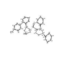 O=C([C@@H]1CNC[C@H]1c1ccccc1-c1ccc(Cl)nc1)N1CC[C@H](c2ccccc2)C[C@@H]1c1ccccc1